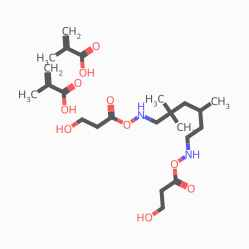 C=C(C)C(=O)O.C=C(C)C(=O)O.CC(CCNOC(=O)CCO)CC(C)(C)CNOC(=O)CCO